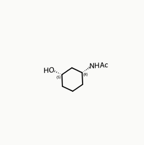 CC(=O)N[C@@H]1CCC[C@H](O)C1